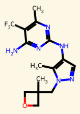 Cc1nc(Nc2cnn(CC3(C)COC3)c2C)nc(N)c1C(F)(F)F